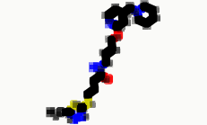 Cc1nnc(SCCCC(=O)NCC=CCOc2cc(CN3CCCCC3)ccn2)s1